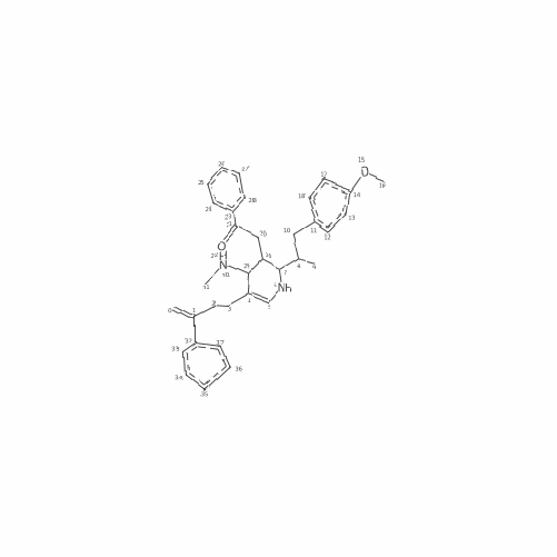 C=C(CCC1=CNC(C(C)Cc2ccc(OC)cc2)C(CC(=O)c2ccccc2)C1NC)c1ccccc1